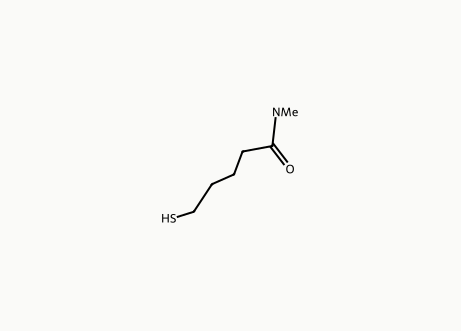 CNC(=O)CCCCS